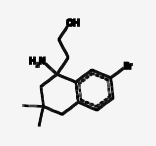 CC1(C)Cc2ccc(Br)cc2C(N)(CCO)C1